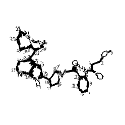 COCCC(=O)Nc1ccccc1C(=O)N1CCC(c2cc3c(-c4cnn5ncccc45)ccnc3[nH]2)C1